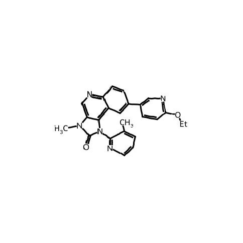 CCOc1ccc(-c2ccc3ncc4c(c3c2)n(-c2ncccc2C)c(=O)n4C)cn1